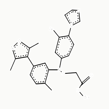 Cc1ccc(-c2c(C)noc2C)cc1N(OCC(=O)OC(C)(C)C)c1ccc(-n2ccnc2)c(Br)c1